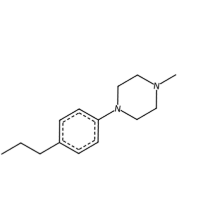 CCCc1ccc(N2CCN(C)CC2)cc1